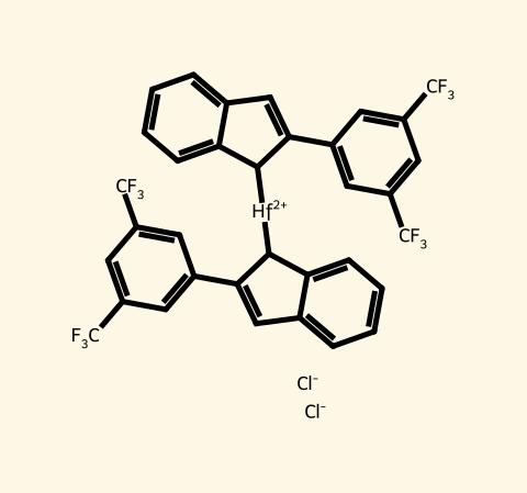 FC(F)(F)c1cc(C2=Cc3ccccc3[CH]2[Hf+2][CH]2C(c3cc(C(F)(F)F)cc(C(F)(F)F)c3)=Cc3ccccc32)cc(C(F)(F)F)c1.[Cl-].[Cl-]